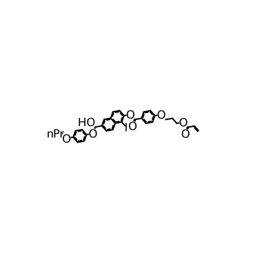 C=CC(=O)OCCCOc1ccc(C(=O)Oc2ccc3cc(C(O)Oc4ccc(OCCC)cc4)ccc3c2I)cc1